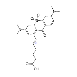 CN(C)c1ccc2c(c1)S(=O)(=O)c1cc(N(C)C)cc(/C=C/CCCC(=O)O)c1C2=O